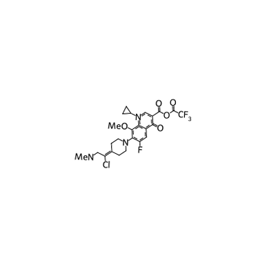 CNCC(Cl)=C1CCN(c2c(F)cc3c(=O)c(C(=O)OC(=O)C(F)(F)F)cn(C4CC4)c3c2OC)CC1